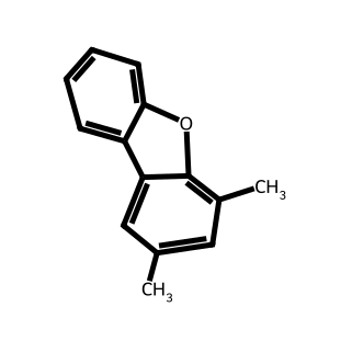 Cc1cc(C)c2oc3ccccc3c2c1